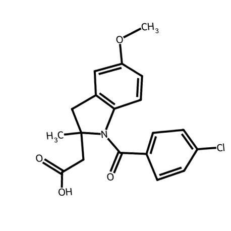 COc1ccc2c(c1)CC(C)(CC(=O)O)N2C(=O)c1ccc(Cl)cc1